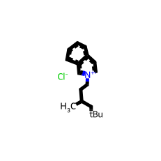 CC(CC[n+]1ccc2ccccc2c1)CC(C)(C)C.[Cl-]